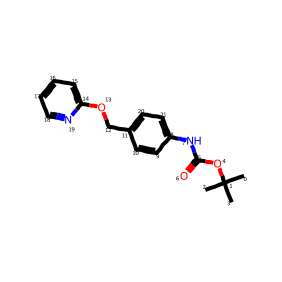 CC(C)(C)OC(=O)Nc1ccc(COc2ccccn2)cc1